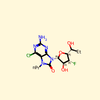 CCCn1c(=O)n([C@@H]2O[C@H](C(O)CC)[C@H](F)[C@H]2O)c2nc(N)nc(Cl)c21